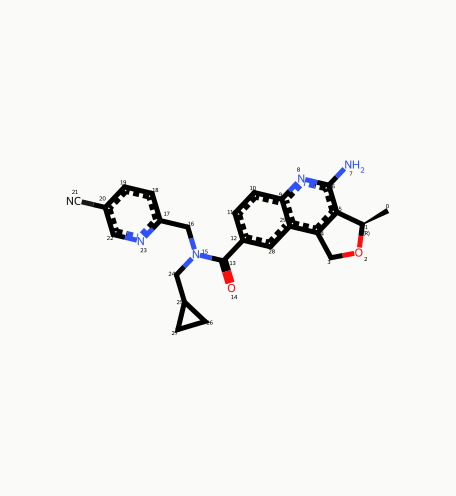 C[C@H]1OCc2c1c(N)nc1ccc(C(=O)N(Cc3ccc(C#N)cn3)CC3CC3)cc21